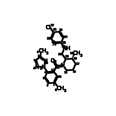 Cc1ccc(-n2ncc(C)n2)c(C(=O)N2CCC[C@@H](C)C2CNc2ccc(Cl)cn2)c1